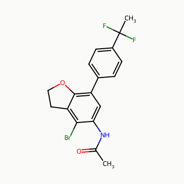 CC(=O)Nc1cc(-c2ccc(C(C)(F)F)cc2)c2c(c1Br)CCO2